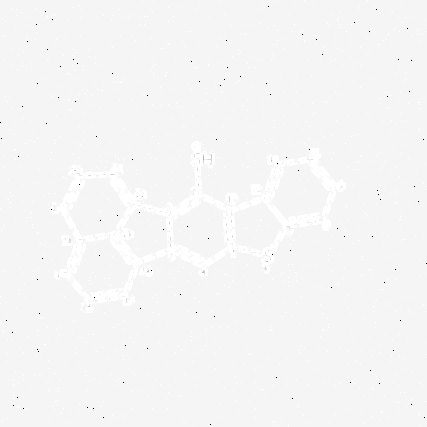 Sc1c2c(cc3sc4ccccc4c13)-c1cccc3cccc-2c13